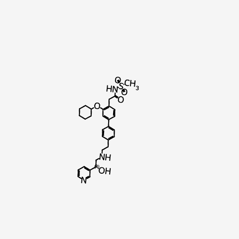 CS(=O)(=O)NC(=O)Cc1ccc(-c2ccc(CCNC[C@H](O)c3cccnc3)cc2)cc1OC1CCCCC1